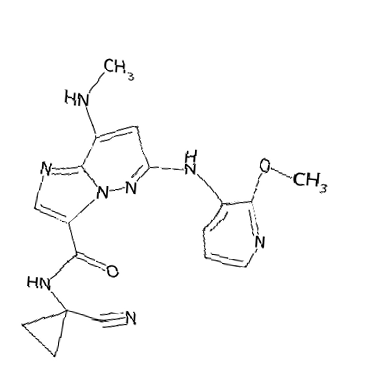 CNc1cc(Nc2cccnc2OC)nn2c(C(=O)NC3(C#N)CC3)cnc12